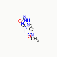 Cc1nc(-c2ccc3ccnc(N[C@H]4CCN(C(=O)c5cnc[nH]5)C4)c3c2)no1